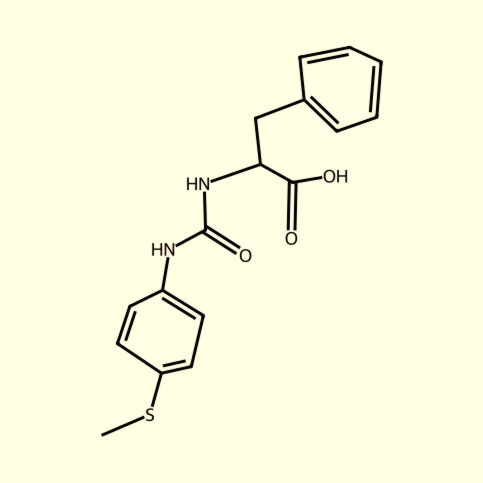 CSc1ccc(NC(=O)NC(Cc2ccccc2)C(=O)O)cc1